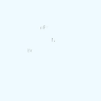 CCCN1CC=CC(C)=C1Br